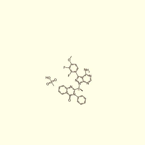 COc1ccc(-c2nn([C@@H](C)c3nc4ccccc4c(=O)n3-c3ccccc3)c3ncnc(N)c23)c(F)c1F.CS(=O)(=O)O